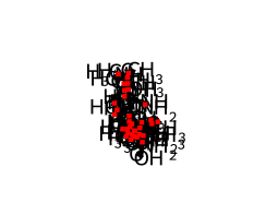 CC[C@H](C)[C@H](NC(=O)[C@@H](NC(=O)[C@H](Cc1ccc(O)cc1)NC(=O)[C@H](CCCNC(=N)N)NC(=O)[C@H](CCCNC(=N)N)NC(=O)[C@@H]1CCCN1C(=O)CNC(=O)[C@H](CO)NC(=O)[C@H](CC(=O)O)NC(=O)[C@H](CC(N)=O)NC(=O)[C@H](C)NC(=O)[C@@H](NC(=O)[C@H](Cc1ccccc1)NC(=O)[C@@H](NC(=O)[C@@H](NC(=O)[C@@H](N)CCC(=O)O)C(C)C)C(C)C)[C@@H](C)O)[C@@H](C)O)C(=O)N[C@@H](C)C(=O)O